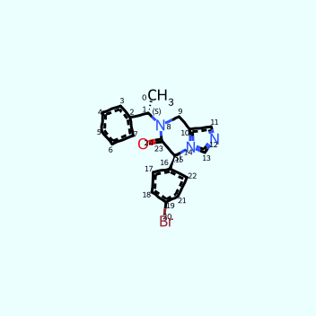 C[C@@H](c1ccccc1)N1Cc2cncn2[C@@H](c2ccc(Br)cc2)C1=O